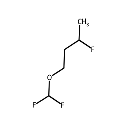 CC(F)CCOC(F)F